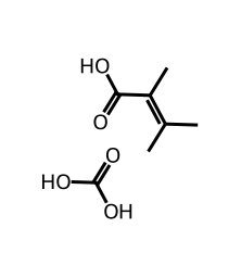 CC(C)=C(C)C(=O)O.O=C(O)O